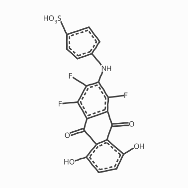 O=C1c2c(O)ccc(O)c2C(=O)c2c(F)c(Nc3ccc(S(=O)(=O)O)cc3)c(F)c(F)c21